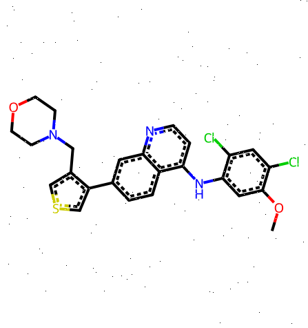 COc1cc(Nc2ccnc3cc(-c4cscc4CN4CCOCC4)ccc23)c(Cl)cc1Cl